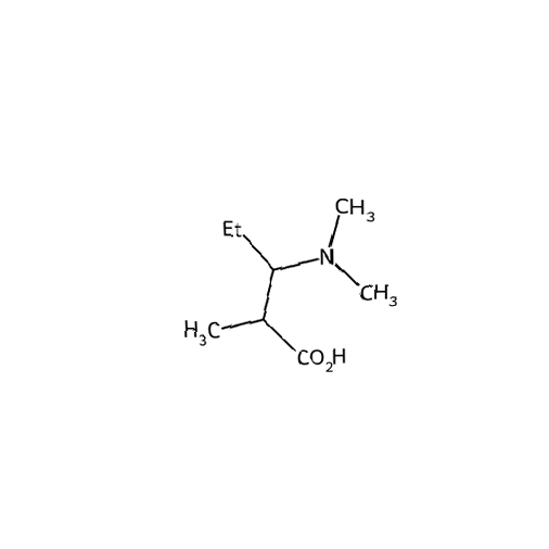 CCC(C(C)C(=O)O)N(C)C